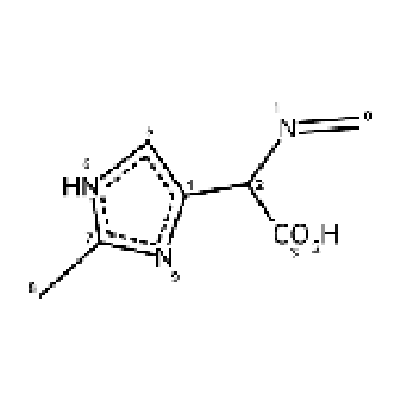 C=NC(C(=O)O)c1c[nH]c(C)n1